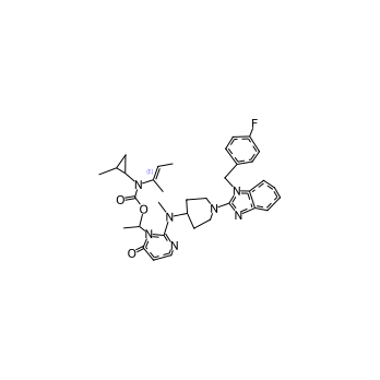 C/C=C(\C)N(C(=O)OC(C)n1c(N(C)C2CCN(c3nc4ccccc4n3Cc3ccc(F)cc3)CC2)nccc1=O)C1CC1C